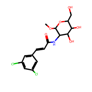 COC1OC(CO)C(O)C(O)C1NC(=O)/C=C/c1cc(Cl)cc(Cl)c1